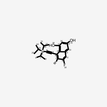 CC(C)[Si](C#Cc1c(F)c(F)cc2cc(O)cc(O)c12)(C(C)C)C(C)C